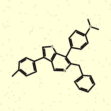 Cc1ccc(-c2csc3c(-c4ccc(N(C)C)cc4)c(Cc4ccccc4)n[c]c23)cc1